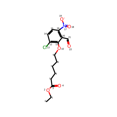 CCOC(=O)CCCCCOc1c(Cl)ccc([N+](=O)[O-])c1C=O